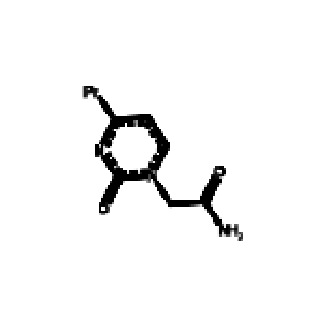 CC(C)c1ccn(CC(N)=O)c(=O)n1